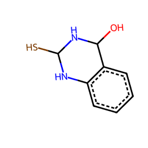 OC1NC(S)Nc2ccccc21